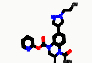 COC(=O)N1c2ccc(C3CNN(CCC#N)C3)cc2N(C(=O)Oc2ccccn2)C[C@@H]1C